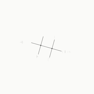 CCCCCC(F)(F)C(F)(F)S(=O)(=O)O